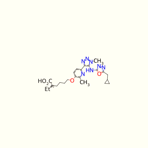 CC[C@H](CCCCOc1ccc(-c2nnn(C)c2Nc2nnc(CC3CC3)o2)nc1C)C(=O)O